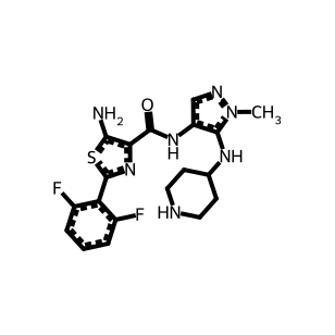 Cn1ncc(NC(=O)c2nc(-c3c(F)cccc3F)sc2N)c1NC1CCNCC1